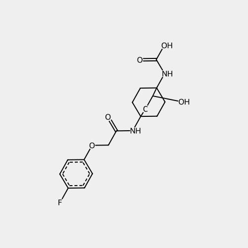 O=C(O)NC12CCC(NC(=O)COc3ccc(F)cc3)(CC1)CC2O